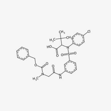 CN(CC(=O)Nc1cccc(S(=O)(=O)N(c2ccc(Cl)cc2)C(C(=O)O)C(C)(C)C)c1)C(=O)OCc1ccccc1